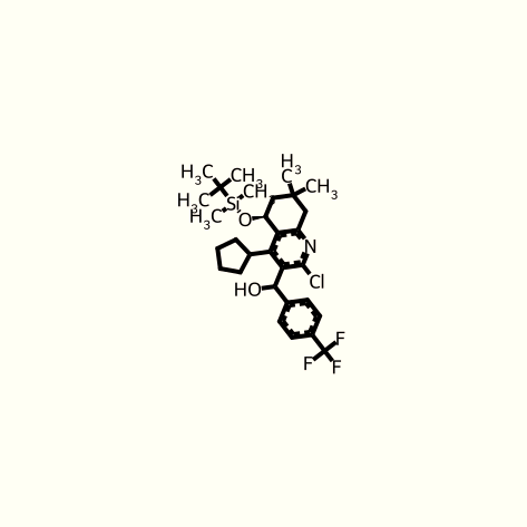 CC1(C)Cc2nc(Cl)c(C(O)c3ccc(C(F)(F)F)cc3)c(C3CCCC3)c2[C@@H](O[Si](C)(C)C(C)(C)C)C1